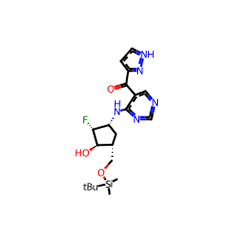 CC(C)(C)[Si](C)(C)OC[C@H]1C[C@@H](Nc2ncncc2C(=O)c2cc[nH]n2)[C@@H](F)[C@@H]1O